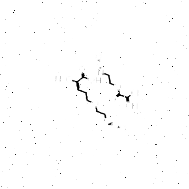 C=C(C)C(=O)OCCN=C=O.CC(=CCCOCCN=C=O)C(=O)O